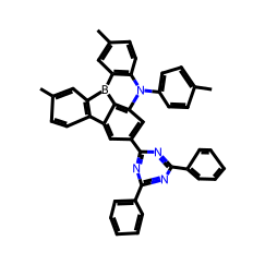 Cc1ccc(N2c3ccc(C)cc3B3c4cc(C)ccc4-c4cc(-c5nc(-c6ccccc6)nc(-c6ccccc6)n5)cc2c43)cc1